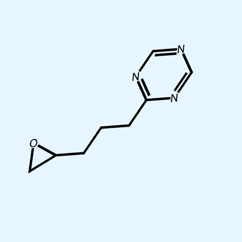 c1ncnc(CCCC2CO2)n1